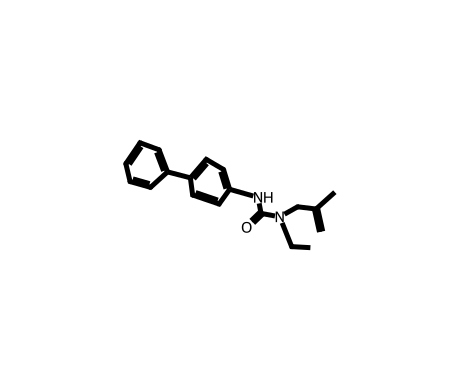 C=C(C)CN(CC)C(=O)Nc1ccc(-c2ccccc2)cc1